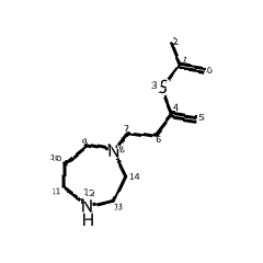 C=C(C)SC(=C)CCN1CCCNCC1